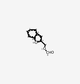 O=COCc1cc2ccccc2o1